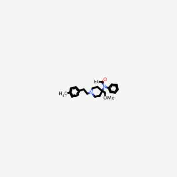 CCC(=O)N(c1ccccc1)C1(COC)CCN(CCc2ccc(C)cc2)CC1